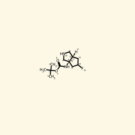 CC(C)(C)OC(=O)N[C@@]12CNC[C@@H]1CC(F)C2